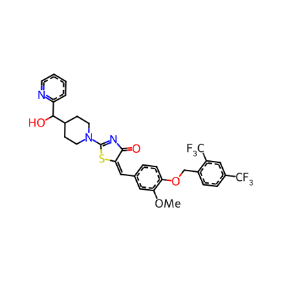 COc1cc(C=C2SC(N3CCC(C(O)c4ccccn4)CC3)=NC2=O)ccc1OCc1ccc(C(F)(F)F)cc1C(F)(F)F